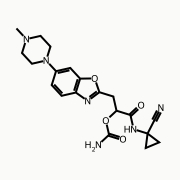 CN1CCN(c2ccc3nc(CC(OC(N)=O)C(=O)NC4(C#N)CC4)oc3c2)CC1